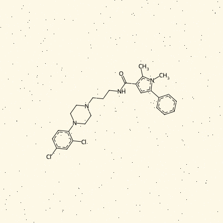 Cc1c(C(=O)NCCCN2CCN(c3ccc(Cl)cc3Cl)CC2)cc(-c2ccccc2)n1C